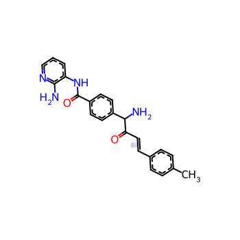 Cc1ccc(/C=C/C(=O)C(N)c2ccc(C(=O)Nc3cccnc3N)cc2)cc1